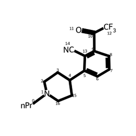 CCCN1CCC(c2cccc(C(=O)C(F)(F)F)c2C#N)CC1